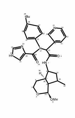 CO[C@H]1OCC[C@H]2C(NC(=O)C(c3cccnc3)N(C(=O)c3c[nH]cn3)c3ccc(C(C)(C)C)cc3)CC(C)C12